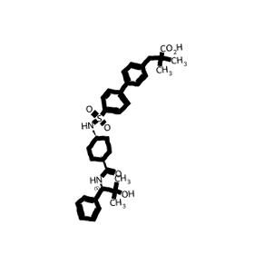 CC(C)(Cc1ccc(-c2ccc(S(=O)(=O)N[C@H]3CC[C@H](C(=O)N[C@@H](c4ccccc4)C(C)(C)O)CC3)cc2)cc1)C(=O)O